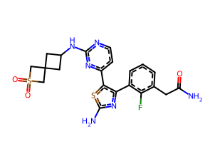 NC(=O)Cc1cccc(-c2nc(N)sc2-c2ccnc(NC3CC4(C3)CS(=O)(=O)C4)n2)c1F